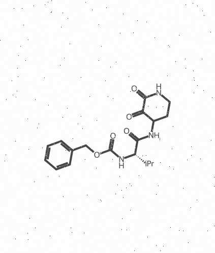 CC(C)[C@H](NC(=O)OCc1ccccc1)C(=O)NC1CCNC(=O)C1=O